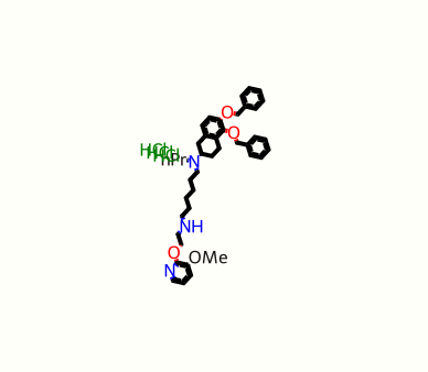 CCCN(CCCCCCNCCOc1ncccc1OC)[C@H]1CCc2c(ccc(OCc3ccccc3)c2OCc2ccccc2)C1.Cl.Cl.Cl